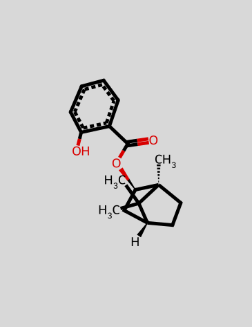 CC1(C)[C@@H]2CC[C@]1(C)[C@H](OC(=O)c1ccccc1O)C2